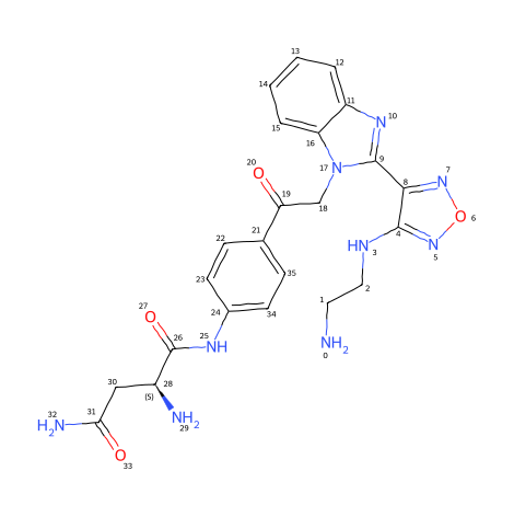 NCCNc1nonc1-c1nc2ccccc2n1CC(=O)c1ccc(NC(=O)[C@@H](N)CC(N)=O)cc1